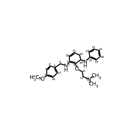 COc1ccc(CNC2=C(OCCN(C)C)C(Nc3ccccc3)CC=C2)cc1